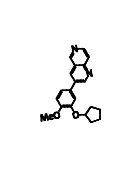 COc1ccc(-c2cnc3ccncc3c2)cc1OC1CCCC1